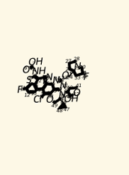 N#Cc1c(NC(=O)O)sc2c(F)ccc(-c3c(Cl)c4c5c(nc(OC[C@@]67CCCN6C[C@H](F)C7)nc5c3F)N(C3CCOC3)[C@@H](C3(O)CC3)CO4)c12